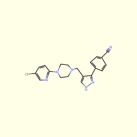 N#Cc1ccc(-c2n[nH]cc2CN2CCN(c3ccc(Cl)cn3)CC2)cc1